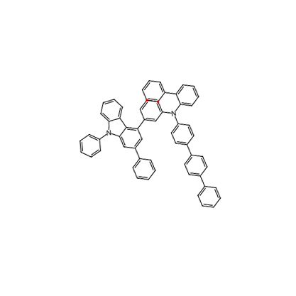 c1ccc(-c2ccc(-c3ccc(N(c4cccc(-c5cc(-c6ccccc6)cc6c5c5ccccc5n6-c5ccccc5)c4)c4ccccc4-c4ccccc4)cc3)cc2)cc1